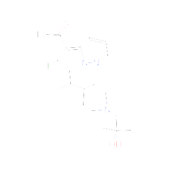 CCC(=O)c1c(Cl)c(C(C)C2CCN(CC(C)(C)O)CC2)n2ncccc12